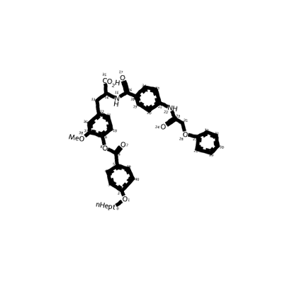 CCCCCCCOc1ccc(C(=O)Oc2ccc(CC(NC(=O)c3ccc(NC(=O)COc4ccccc4)cc3)C(=O)O)cc2OC)cc1